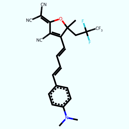 CN(C)c1ccc(/C=C/C=C/C2=C(C#N)C(=C(C#N)C#N)OC2(C)CC(F)(F)C(F)(F)F)cc1